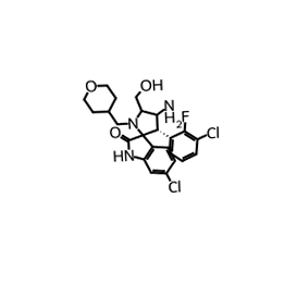 NC1C(CO)N(CC2CCOCC2)C2(C(=O)Nc3cc(Cl)ccc32)[C@H]1c1cccc(Cl)c1F